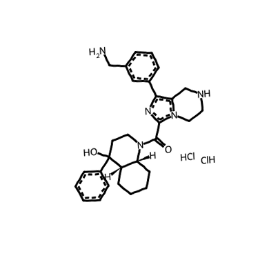 Cl.Cl.NCc1cccc(-c2nc(C(=O)N3CCC(O)(c4ccccc4)[C@H]4CCCC[C@H]43)n3c2CNCC3)c1